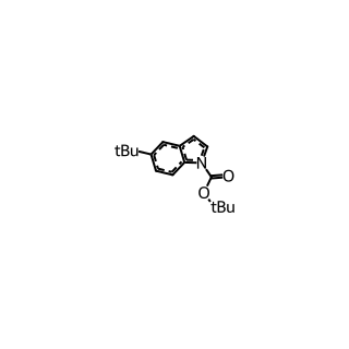 CC(C)(C)OC(=O)n1ccc2cc(C(C)(C)C)ccc21